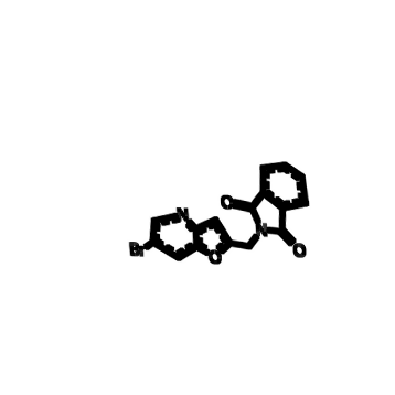 O=C1c2ccccc2C(=O)N1Cc1cc2ncc(Br)cc2o1